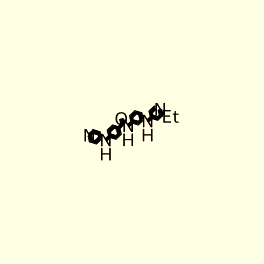 CCc1cc(Nc2cccc(NC(=O)c3ccc(Nc4ccncc4)cc3)c2)ccn1